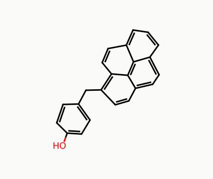 Oc1ccc(Cc2ccc3ccc4cccc5ccc2c3c45)cc1